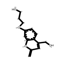 C=C1C=C(CO)c2ccc(OCCCO)cc2O1